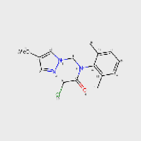 COc1cnn(CN(C(=O)CCl)c2c(C)cccc2C)c1